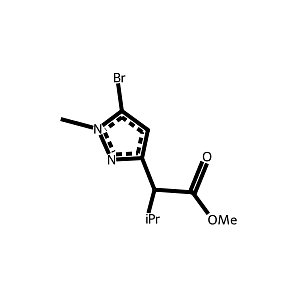 COC(=O)C(c1cc(Br)n(C)n1)C(C)C